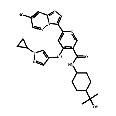 CC(C)(O)C1CCC(NC(=O)c2cnc(-c3cnc4cc(C#N)cnn34)cc2Nc2cnn(C3CC3)c2)CC1